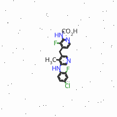 Cc1c(Cc2ccnc(NC(=O)O)c2F)cncc1Nc1ccc(Cl)cc1F